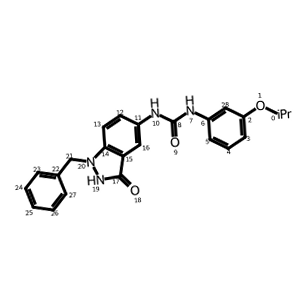 CC(C)Oc1cccc(NC(=O)Nc2ccc3c(c2)c(=O)[nH]n3Cc2ccccc2)c1